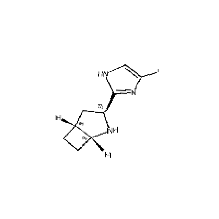 Ic1c[nH]c([C@@H]2C[C@H]3CC[C@H]3N2)n1